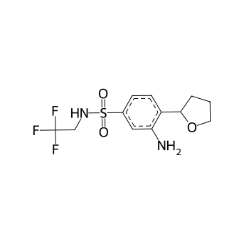 Nc1cc(S(=O)(=O)NCC(F)(F)F)ccc1C1CCCO1